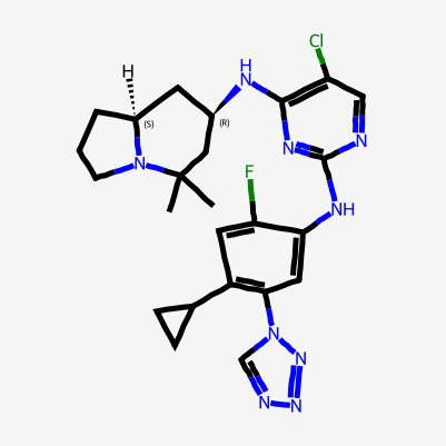 CC1(C)C[C@H](Nc2nc(Nc3cc(-n4cnnn4)c(C4CC4)cc3F)ncc2Cl)C[C@@H]2CCCN21